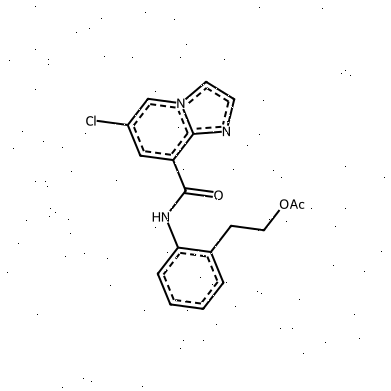 CC(=O)OCCc1ccccc1NC(=O)c1cc(Cl)cn2ccnc12